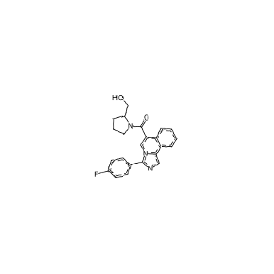 O=C(c1cn2c(-c3ccc(F)cc3)ncc2c2ccccc12)N1CCCC1CO